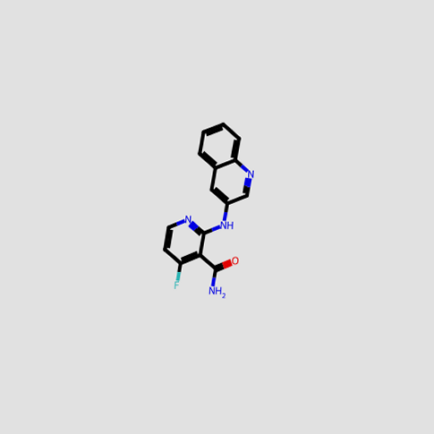 NC(=O)c1c(F)ccnc1Nc1cnc2ccccc2c1